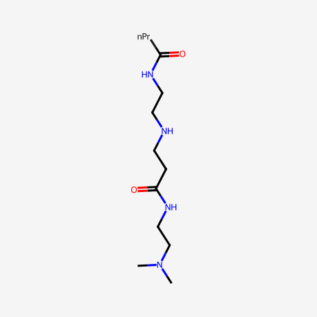 CCCC(=O)NCCNCCC(=O)NCCN(C)C